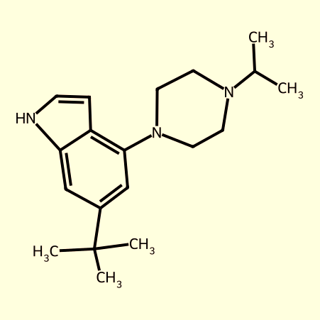 CC(C)N1CCN(c2cc(C(C)(C)C)cc3[nH]ccc23)CC1